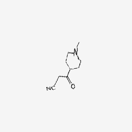 CN1CCC(C(=O)CC#N)CC1